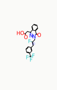 O=C(O)Cc1nn(C/C(F)=C/c2cccc(C(F)(F)F)c2)c(=O)c2ccccc12